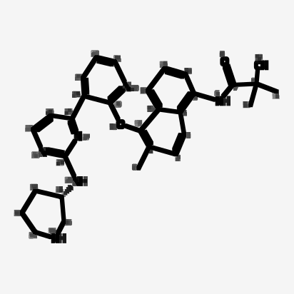 Cc1ccc2c(NC(=O)C(C)(C)C#N)cccc2c1Oc1ncccc1-c1ccnc(N[C@H]2CCCNC2)n1